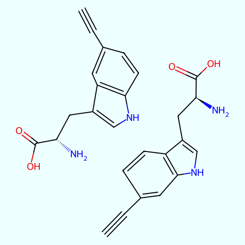 C#Cc1ccc2[nH]cc(C[C@H](N)C(=O)O)c2c1.C#Cc1ccc2c(C[C@H](N)C(=O)O)c[nH]c2c1